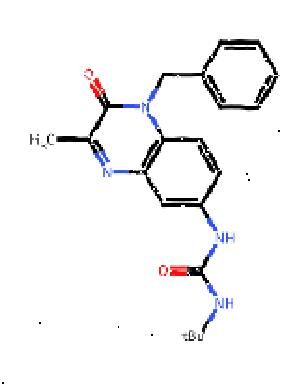 Cc1nc2cc(NC(=O)NC(C)(C)C)ccc2n(Cc2ccccc2)c1=O